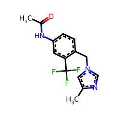 CC(=O)Nc1ccc(Cn2cnc(C)c2)c(C(F)(F)F)c1